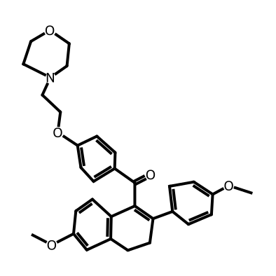 COc1ccc(C2=C(C(=O)c3ccc(OCCN4CCOCC4)cc3)c3ccc(OC)cc3CC2)cc1